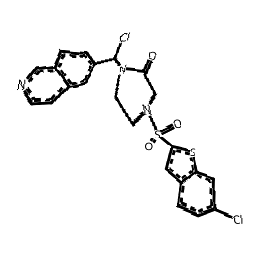 O=C1CN(S(=O)(=O)c2cc3ccc(Cl)cc3s2)CCN1C(Cl)c1ccc2cnccc2c1